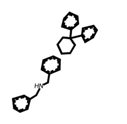 c1ccc(C2(c3ccccc3)CCCCC2)cc1.c1ccc(CNCc2ccccc2)cc1